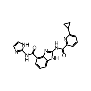 O=C(Nc1nc2c(C(=O)Nc3ncc[nH]3)cccc2[nH]1)c1cccc(C2CC2)n1